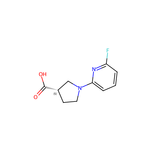 O=C(O)[C@H]1CCN(c2cccc(F)n2)C1